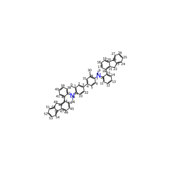 Cc1cc(-c2ccc(N(C)c3ccccc3-c3cccc4c3Cc3ccccc3-4)c(C)c2)ccc1N(C)c1ccccc1-c1cccc2c1Cc1ccccc1-2